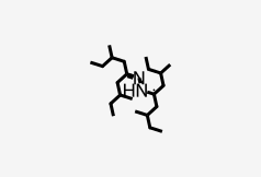 CCC(C)C[C](CC(C)CC)NN=C(CC(C)CC)CC(C)CC